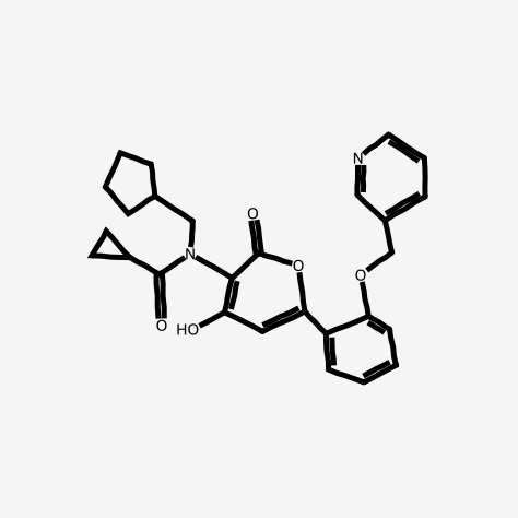 O=C(C1CC1)N(CC1CCCC1)c1c(O)cc(-c2ccccc2OCc2cccnc2)oc1=O